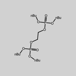 CCCCOP(=O)(OCCCC)OCCOP(=O)(OCCCC)OCCCC